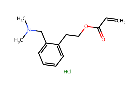 C=CC(=O)OCCc1ccccc1CN(C)C.Cl